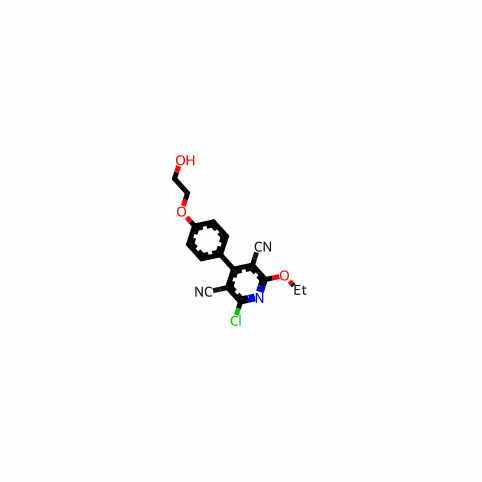 CCOc1nc(Cl)c(C#N)c(-c2ccc(OCCO)cc2)c1C#N